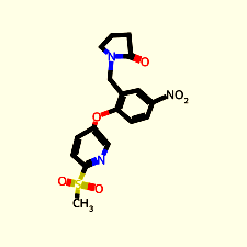 CS(=O)(=O)c1ccc(Oc2ccc([N+](=O)[O-])cc2CN2CCCC2=O)cn1